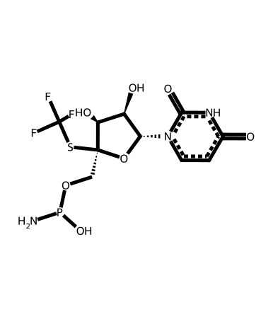 NP(O)OC[C@@]1(SC(F)(F)F)O[C@@H](n2ccc(=O)[nH]c2=O)[C@H](O)[C@@H]1O